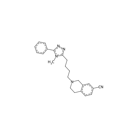 Cn1c(CCCCN2CCc3ccc(C#N)cc3C2)nnc1-c1ccccc1